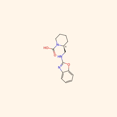 O=C(O)N1CCCC[C@H]1CNc1nc2ccccc2o1